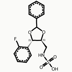 O=S(=O)(O)NC[C@@H]1OC(c2ccccc2)O[C@H]1c1ccccc1F